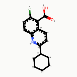 O=C(O)c1c(Cl)ccc2nc(C3CCCCC3)ccc12